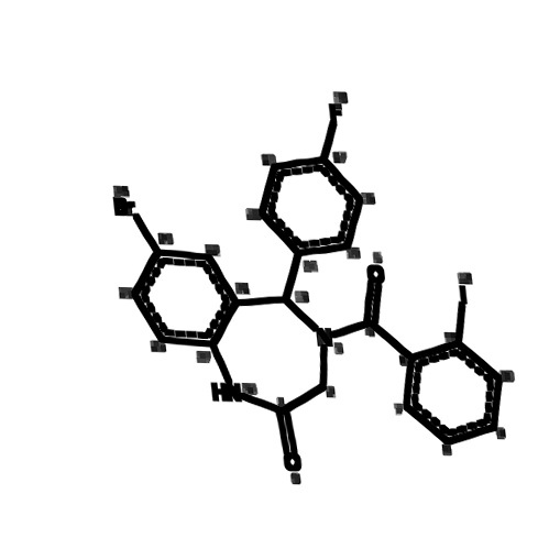 O=C1CN(C(=O)c2ccccc2I)C(c2ccc(F)cc2)c2cc(Br)ccc2N1